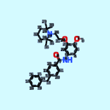 COc1ccc(NC(=O)c2ccc(Cc3ccccc3)cc2)cc1OCCN1C(C)(C)CCCC1(C)C